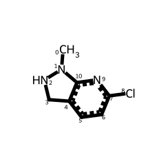 CN1NCc2ccc(Cl)nc21